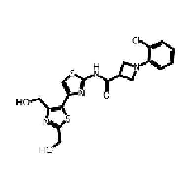 O=C(Nc1nc(-c2sc(CO)nc2CO)cs1)C1CN(c2ccccc2Cl)C1